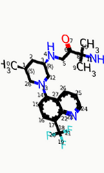 C[C@H]1C[C@@H](NCC(=O)C(C)(C)N)CN(c2ccc(C(F)(F)F)c3ncccc23)C1